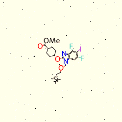 COC(=O)[C@H]1CC[C@H](Oc2nc3c(F)c(I)c(F)cc3n2COCC[Si](C)(C)C)CC1